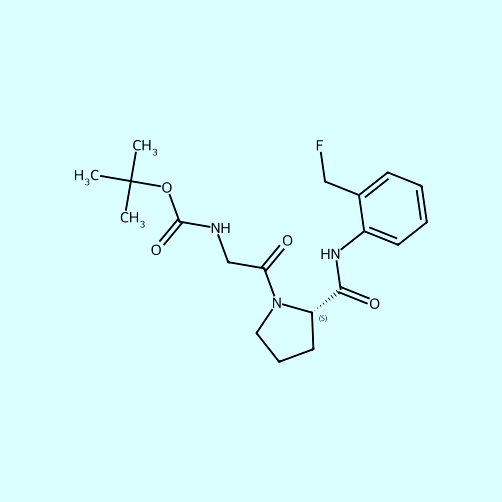 CC(C)(C)OC(=O)NCC(=O)N1CCC[C@H]1C(=O)Nc1ccccc1CF